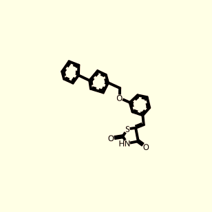 O=C1NC(=O)C(=Cc2cccc(OCc3ccc(-c4ccccc4)cc3)c2)S1